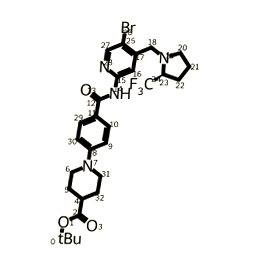 CC(C)(C)OC(=O)C1CCN(c2ccc(C(=O)Nc3cc(CN4CCC[C@H]4C(F)(F)F)c(Br)cn3)cc2)CC1